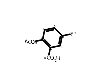 CC(=O)Oc1ccc(F)cc1C(=O)O